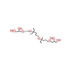 CCC(C)(CCCOCC(O)CO)OCCCC(CC)(CC)OCCCOCC(O)CO